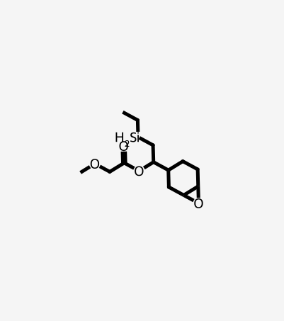 CC[SiH2]CC(OC(=O)COC)C1CCC2OC2C1